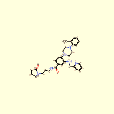 Cc1ccccc1N1CCN(c2ccc(C(=O)NCCCN3CCCC3=O)cc2NCc2ccccn2)CC1